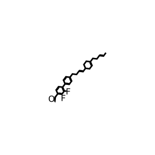 C/C=C/CCC1=CCC(/C=C/CCc2ccc(-c3ccc(C4CO4)c(F)c3F)cc2)CC1